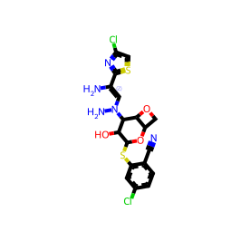 N#Cc1ccc(Cl)cc1SC1OC2COC2C(N(N)/C=C(\N)c2nc(Cl)cs2)C1O